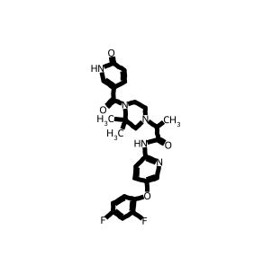 CC(C(=O)Nc1ccc(Oc2ccc(F)cc2F)cn1)N1CCN(C(=O)c2ccc(=O)[nH]c2)C(C)(C)C1